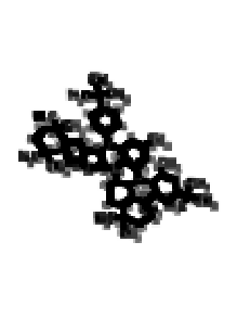 CC1=CC(C(C)(C)C)CC2=C1N1c3cc(C)cc4c3B(c3sc5cc6c(cc5c3N4c3ccc(C(C)(C)C)cc3)C(C)(C)CCC6(C)C)C3C=CC4=C(C31)C2(C)CCC4(C)C